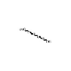 CCOCCOCCOCCOCCOCCON=O